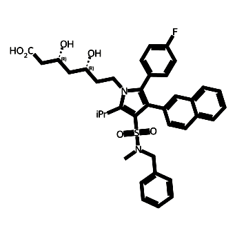 CC(C)c1c(S(=O)(=O)N(C)Cc2ccccc2)c(-c2ccc3ccccc3c2)c(-c2ccc(F)cc2)n1CC[C@@H](O)C[C@@H](O)CC(=O)O